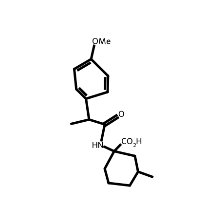 COc1ccc(C(C)C(=O)NC2(C(=O)O)CCCC(C)C2)cc1